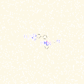 Cc1ccc(NC(=O)c2ccc(C)c(-c3ccc4nc(N)ncc4c3)c2)c(NCCCCN(C)C)c1